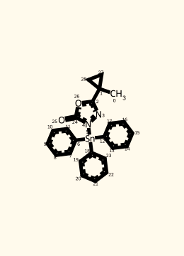 CC1(c2n[n]([Sn]([c]3ccccc3)([c]3ccccc3)[c]3ccccc3)c(=O)o2)CC1